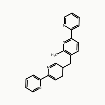 Cc1nc(-c2ccccn2)ccc1CC1C=NC(c2ccccn2)=CC1